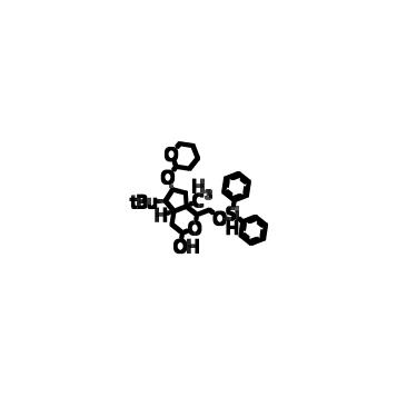 CC(C)(C)[C@@H]1[C@H]2CC(O)OC(CO[SiH](c3ccccc3)c3ccccc3)[C@@]2(C)C[C@H]1OC1CCCCO1